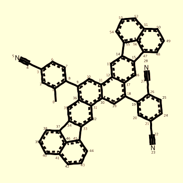 Cc1cc(C#N)ccc1-c1cc2c3cc4c(cc3c(-c3cc(C#N)ccc3C#N)cc2c2cc3c(cc12)-c1cccc2cccc-3c12)-c1cccc2cccc-4c12